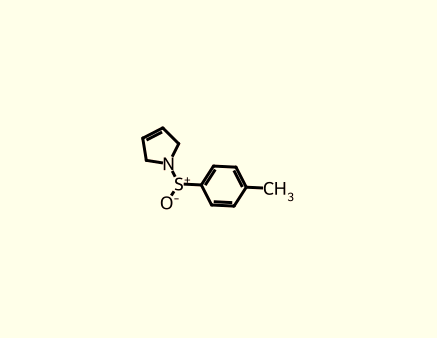 Cc1ccc([S+]([O-])N2CC=CC2)cc1